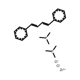 C(C=Cc1ccccc1)=Cc1ccccc1.CP(C)C.CP(C)C.[Cl-].[Cl-].[Zr+2]